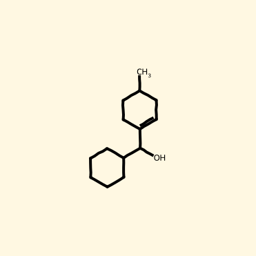 CC1CC=C(C(O)C2CCCCC2)CC1